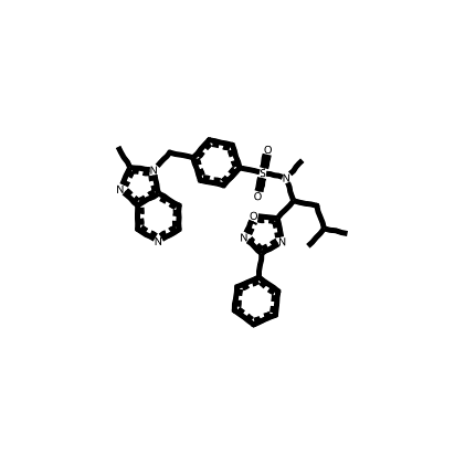 Cc1nc2cnccc2n1Cc1ccc(S(=O)(=O)N(C)C(CC(C)C)c2nc(-c3ccccc3)no2)cc1